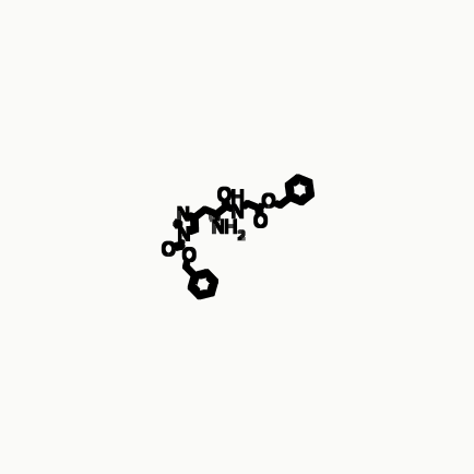 N[C@@H](Cc1cn(C(=O)OCc2ccccc2)cn1)C(=O)NCC(=O)OCc1ccccc1